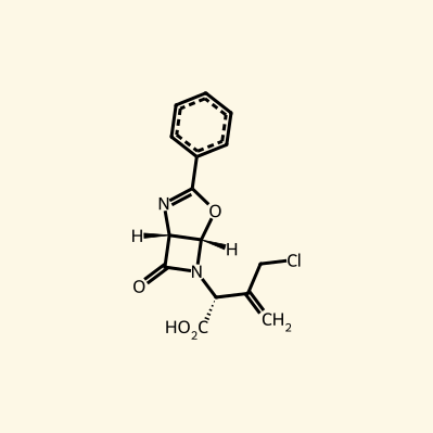 C=C(CCl)[C@H](C(=O)O)N1C(=O)[C@@H]2N=C(c3ccccc3)O[C@@H]21